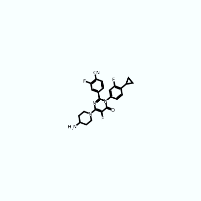 N#Cc1ccc(-c2nc(N3CCC(N)CC3)c(F)c(=O)n2-c2ccc(C3CC3)c(F)c2)cc1F